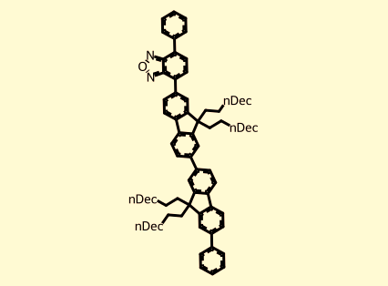 CCCCCCCCCCCCC1(CCCCCCCCCCCC)c2cc(-c3ccccc3)ccc2-c2ccc(-c3ccc4c(c3)C(CCCCCCCCCCCC)(CCCCCCCCCCCC)c3cc(-c5ccc(-c6ccccc6)c6nonc56)ccc3-4)cc21